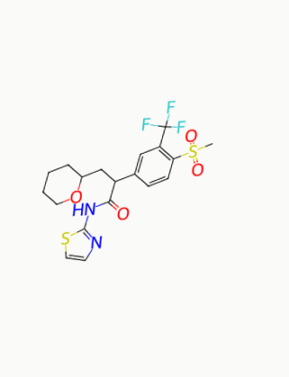 CS(=O)(=O)c1ccc(C(CC2CCCCO2)C(=O)Nc2nccs2)cc1C(F)(F)F